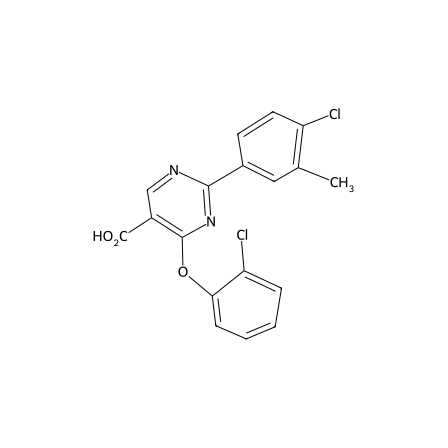 Cc1cc(-c2ncc(C(=O)O)c(Oc3ccccc3Cl)n2)ccc1Cl